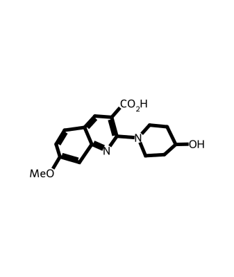 COc1ccc2cc(C(=O)O)c(N3CCC(O)CC3)nc2c1